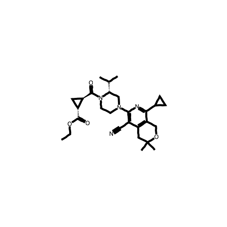 CCOC(=O)[C@@H]1C[C@H]1C(=O)N1CCN(c2nc(C3CC3)c3c(c2C#N)CC(C)(C)OC3)C[C@H]1C(C)C